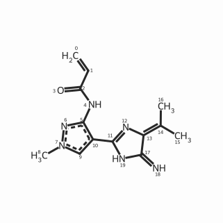 C=CC(=O)Nc1nn(C)cc1C1=NC(=C(C)C)C(=N)N1